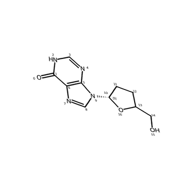 O=c1[nH]cnc2c1ncn2[C@@H]1CCC(CO)O1